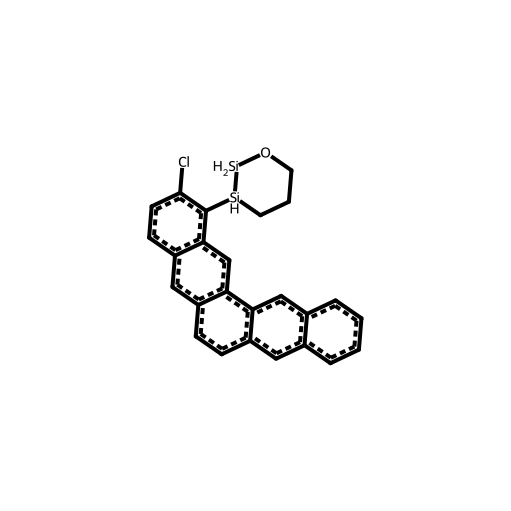 Clc1ccc2cc3ccc4cc5ccccc5cc4c3cc2c1[SiH]1CCCO[SiH2]1